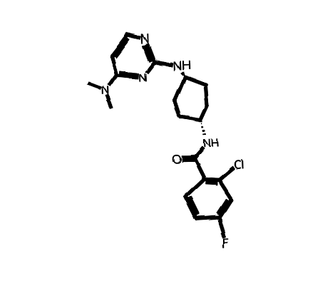 CN(C)c1ccnc(N[C@H]2CC[C@@H](NC(=O)c3ccc(F)cc3Cl)CC2)n1